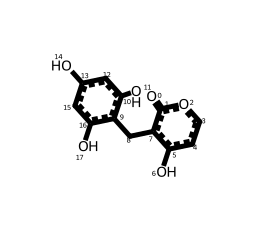 O=c1occc(O)c1Cc1c(O)cc(O)cc1O